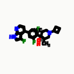 C[C@@H]1CN(C2CCC2)C[C@H](C)[C@@]1(O)c1c(F)cc(-c2ccnc3[nH]cc(F)c23)cc1F